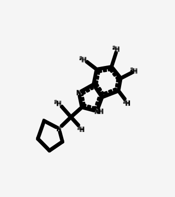 [2H]c1c([2H])c([2H])c2[nH]c(C([2H])([2H])N3CCCC3)nc2c1[2H]